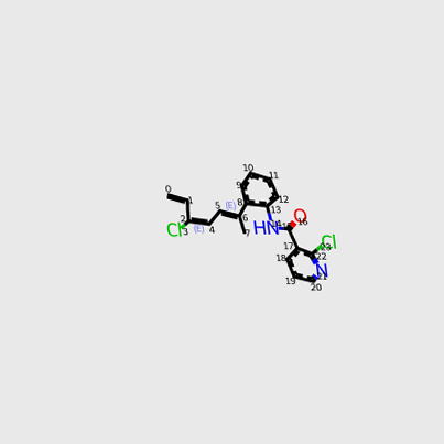 C=C/C(Cl)=C\C=C(/C)c1ccccc1NC(=O)c1cccnc1Cl